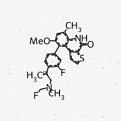 COc1cc(C)c2[nH]c(=O)c3sccc3c2c1-c1ccc([C@H](C)CN(C)CF)c(F)c1